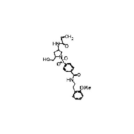 C=CC(=O)NC1CC(CO)N(S(=O)(=O)c2ccc(C(=O)NCCc3ccccc3OC)cc2)C1